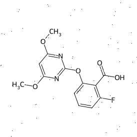 COc1cc(OC)nc(Oc2cccc(F)c2C(=O)O)n1